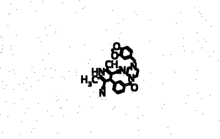 CC1=C(C#N)C(c2cccc(C(=O)N3CCN(Cc4ccc5c(c4)OCO5)CC3)c2)C(C#N)=C(C)N1